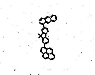 CC1(C)c2cc(-c3cccc4cc5ccccc5cc34)ccc2-c2ccc(-c3ccc4ccc5cccc6ccc3c4c56)cc21